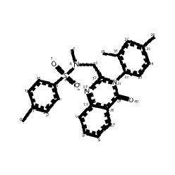 Cc1ccc(S(=O)(=O)N(C)Cc2nc3ccccc3c(=O)n2-c2ccc(C)cc2C)cc1